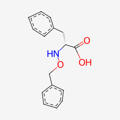 O=C(O)[C@@H](Cc1ccccc1)NOCc1ccccc1